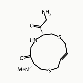 CN[C@H]1CSC/C=C/CSC[C@@H](C(=O)CN)NCC1=O